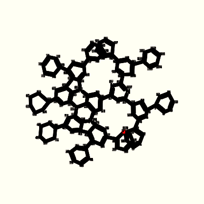 c1ccc(-c2cc(-c3ccccc3)cc(-c3cc(-c4cc5c6c(c4)-n4c7cc(-c8ccccc8)cc(-c8ccccc8)c7c7cc(C8CCCCC8)cc(c74)B6c4cc(C6CCCCC6)cc6c7c(-c8ccccc8)cc(-c8ccccc8)cc7n-5c46)nc(-c4cc(-c5ccccc5)cc(-c5ccccc5)c4)n3)c2)cc1